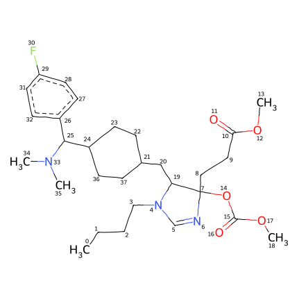 CCCCN1C=NC(CCC(=O)OC)(OC(=O)OC)C1CC1CCC(C(c2ccc(F)cc2)N(C)C)CC1